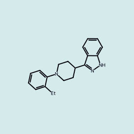 CCc1ccccc1N1CCC(c2n[nH]c3ccccc23)CC1